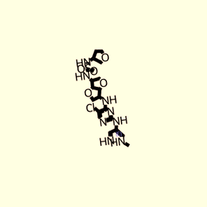 CN/C=C(\C=N)Nc1ncc(Cl)c(NC2COC3C(NS(=O)(=O)NC4CCOC4)COC23)n1